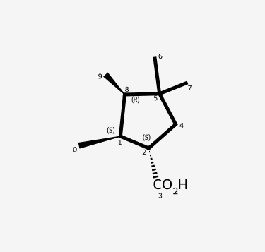 C[C@@H]1[C@@H](C(=O)O)CC(C)(C)[C@@H]1C